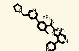 CCC/N=C(/c1nc2c(-c3ccncc3)cncc2[nH]1)c1cc(-c2cncc(CN3CCCC3)c2)ccc1C